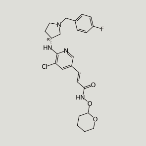 O=C(C=Cc1cnc(N[C@@H]2CCN(Cc3ccc(F)cc3)C2)c(Cl)c1)NOC1CCCCO1